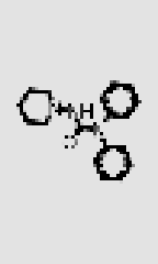 O=C(NN1CCCCC1)N(c1ccccc1)c1ccccc1